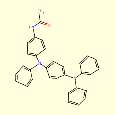 CC(=O)Nc1ccc(N(c2ccccc2)c2ccc(N(c3ccccc3)c3ccccc3)cc2)cc1